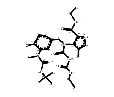 CCOC(=O)NC(=S)N(Cc1ccc(Cl)c(N(C)C(=O)OC(C)(C)C)c1)c1c(C)c[nH]c1C(=O)OCC